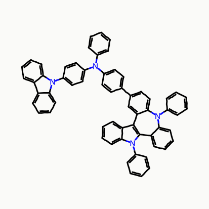 c1ccc(N(c2ccc(-c3ccc4c(c3)-c3c(n(-c5ccccc5)c5ccccc35)-c3ccccc3N4c3ccccc3)cc2)c2ccc(-n3c4ccccc4c4ccccc43)cc2)cc1